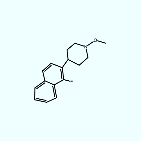 CON1CCC(c2ccc3ccccc3c2F)CC1